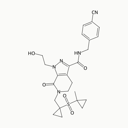 CC1(S(=O)(=O)C2(CN3CCc4c(C(=O)NCc5ccc(C#N)cc5)nn(CCO)c4C3=O)CC2)CC1